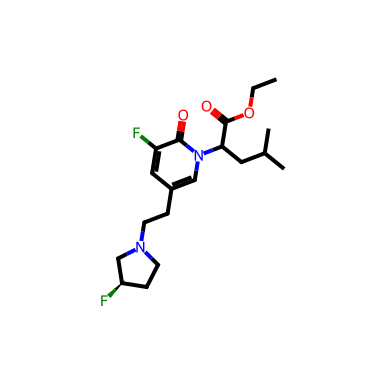 CCOC(=O)C(CC(C)C)n1cc(CCN2CC[C@@H](F)C2)cc(F)c1=O